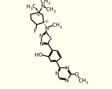 COc1ncnc(-c2ccc(-c3nnc(N(C)[C@H]4C[C@@](C)(N(C)C)CCC4F)s3)c(O)c2)n1